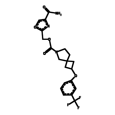 NC(=O)c1coc(COC(=O)N2CCC3(CC(Oc4cccc(C(F)(F)F)c4)C3)C2)n1